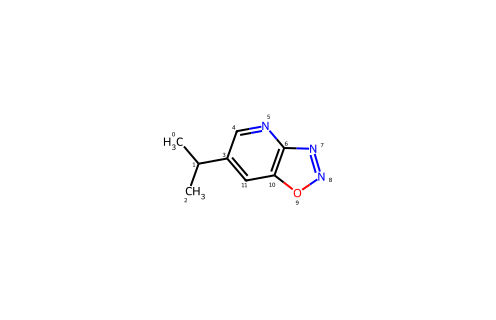 CC(C)c1cnc2nnoc2c1